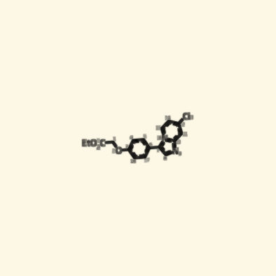 CCOC(=O)COc1ccc(-c2cnc3cc(Cl)ccn23)cc1